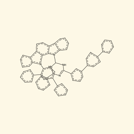 c1ccc(-c2ccc(-c3cccc(C4=NC(c5ccccc5)NC(n5c6ccccc6c6ccc7c8ccccc8n(-c8ccc(-c9ccccc9)cc8-c8ccccc8)c7c65)N4)c3)cc2)cc1